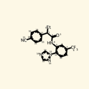 CCC(C(=O)Nc1cc(C(F)(F)F)ccc1-n1cncn1)c1ccc(C#N)cc1